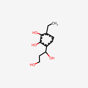 CCc1ccc(C(O)CCO)c(O)c1O